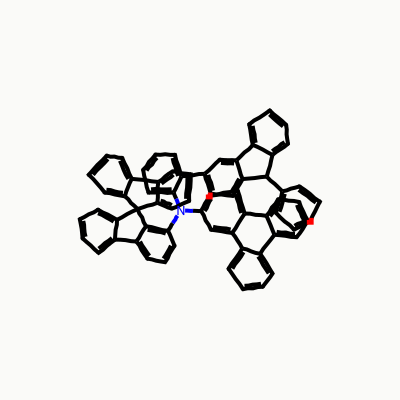 c1ccc(C2c3ccccc3-c3cc(-c4ccccc4N(c4ccc5c6ccccc6c6ccccc6c5c4)c4cccc5c4C4(c6ccccc6-c6ccccc64)c4ccccc4-5)ccc32)cc1